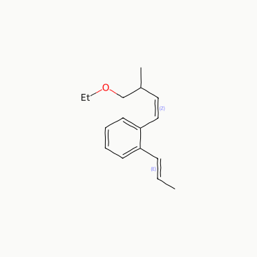 C/C=C/c1ccccc1/C=C\C(C)COCC